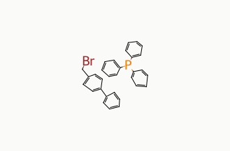 BrCc1ccc(-c2ccccc2)cc1.c1ccc(P(c2ccccc2)c2ccccc2)cc1